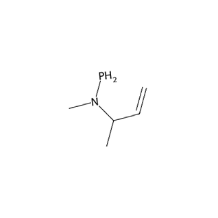 C=CC(C)N(C)P